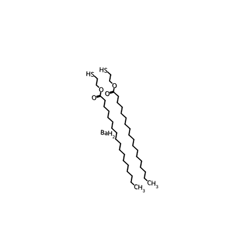 CCCCCCCCCCCCCCCCCC(=O)OCCS.CCCCCCCCCCCCCCCCCC(=O)OCCS.[BaH2]